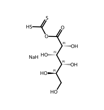 O=C(OC(=S)S)[C@H](O)[C@@H](O)[C@H](O)[C@H](O)CO.[NaH]